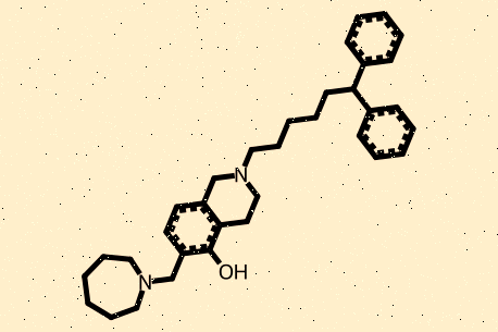 Oc1c(CN2CCCCCC2)ccc2c1CCN(CCCCCC(c1ccccc1)c1ccccc1)C2